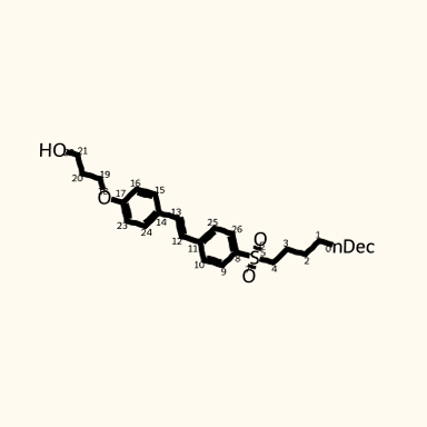 CCCCCCCCCCCCCCS(=O)(=O)c1ccc(/C=C/c2ccc(OCCCO)cc2)cc1